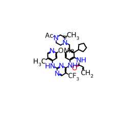 C=CC(=O)Nc1c(Nc2nc(Nc3cc(OC)ncc3C)ncc2C(F)(F)F)ccc(CN2CCN(C(C)=O)C[C@H]2C)c1C1CCCC1